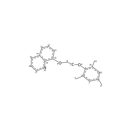 Cc1cc(C)c(OCCOc2cccc3cccnc23)c(C)c1